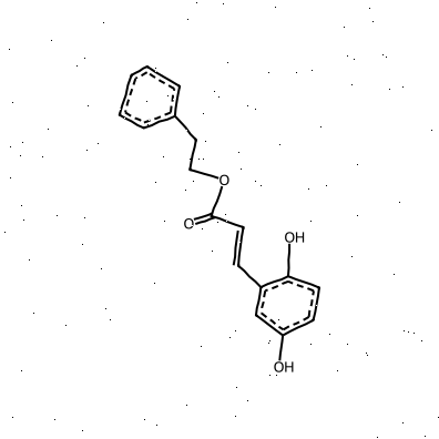 O=C(C=Cc1cc(O)ccc1O)OCCc1ccccc1